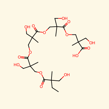 CCC(C)(CO)C(=O)OCC(C)(CO)C(=O)OCC(C)(CO)C(=O)OCC(C)(CO)C(=O)OCC(C)(CO)C(=O)O